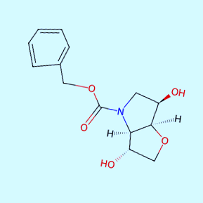 O=C(OCc1ccccc1)N1C[C@@H](O)[C@H]2OC[C@H](O)[C@H]21